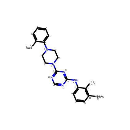 CSc1ccccc1N1CCN(c2ncnc(Nc3cccc(NC(C)=O)c3C)n2)CC1